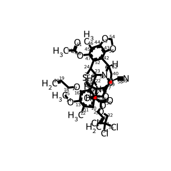 C=CCOC(=O)N1C2Cc3cc(C)c(OC)c(OCC=C)c3[C@H]1[C@@H]1C3SC[C@H](NC(=O)OCC(Cl)(Cl)Cl)C(=O)OC[C@@H](c4c5c(c(C)c(OC(C)=O)c43)OCO5)N1[C@H]2C#N